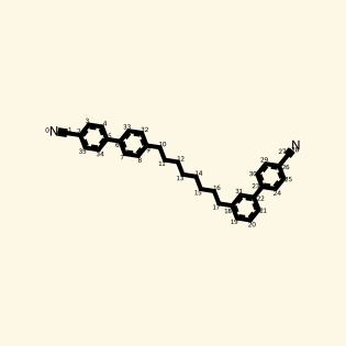 N#Cc1ccc(-c2ccc(CCCCCCCCc3cccc(-c4ccc(C#N)cc4)c3)cc2)cc1